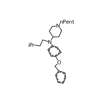 CCCCCN1CCC(N(CCC(C)C)c2ccc(OCc3ccccc3)cc2)CC1